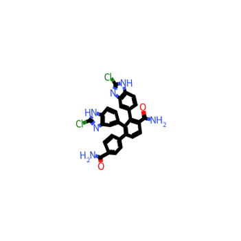 NC(=O)c1ccc(-c2ccc(C(N)=O)c(-c3ccc4[nH]c(Cl)nc4c3)c2-c2ccc3[nH]c(Cl)nc3c2)cc1